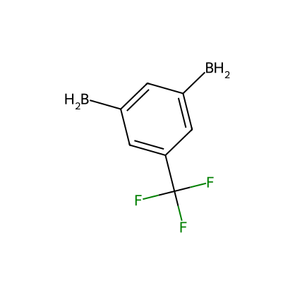 Bc1cc(B)cc(C(F)(F)F)c1